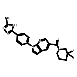 Nc1nnc(-c2ccc(-n3ccc4cc(C(=O)N5CCCC(F)(F)C5)cnc43)cc2)[nH]1